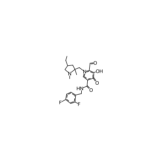 CCC1CN(C)C(C)(Cn2cc(C(=O)NCc3ccc(F)cc3F)c(=O)c(O)c2C=O)C1